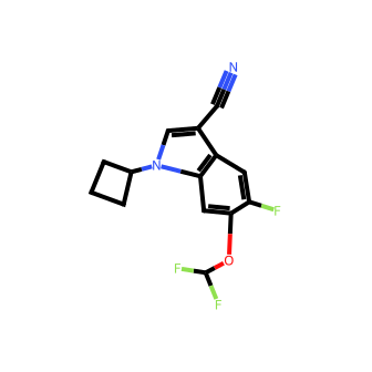 N#Cc1cn(C2CCC2)c2cc(OC(F)F)c(F)cc12